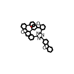 c1ccc(-c2nc(-c3ccc4c(c3)oc3ccccc34)nc(-c3cccc4oc5ccc(-c6cccc7oc8cccc(-c9ccccc9)c8c67)cc5c34)n2)cc1